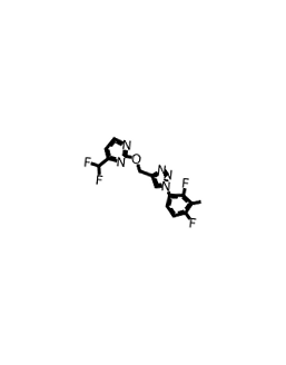 Cc1c(F)ccc(-n2cc(COc3nccc(C(F)F)n3)nn2)c1F